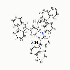 Cc1ccc2c(c1-c1cccc(N(c3ccc(-c4cc5ccccc5c5ccccc45)cc3)c3cccc(-c4c(C)ccc5c4CCCC5)c3)c1)CCCC2